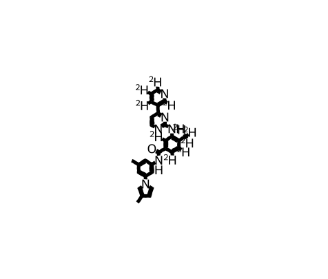 [2H]c1nc([2H])c(-c2ccnc(Nc3c([2H])c(C(=O)Nc4cc(C)cc(-n5ccc(C)c5)c4)c([2H])c([2H])c3C([2H])([2H])[2H])n2)c([2H])c1[2H]